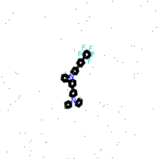 Fc1c(F)c(F)c(-c2ccc(-c3ccc(-n4c5ccccc5c5cc(-c6ccc(N(c7ccccc7)c7ccccc7)cc6)ccc54)cc3)cc2)c(F)c1F